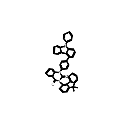 CC1(C)c2ccccc2-c2c(-n3c(=O)c4ccccc4n(-c4ccc(-c5cccc6c5c5ccccc5n6-c5ccccc5)cc4)c3=O)cccc21